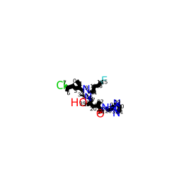 C=C/C(=C\C=C(/C)Cl)C/N=C(/CCCCF)N(CC(C)CC(=C)C(=O)NCc1cnccn1)[C@H](C)O